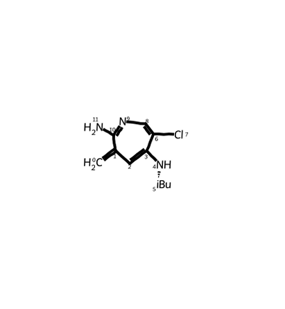 C=C1C=C(N[C@@H](C)CC)C(Cl)=CN=C1N